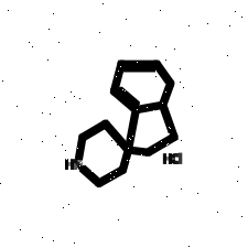 C1=CCC2CCC3(CCNCC3)C2=C1.Cl